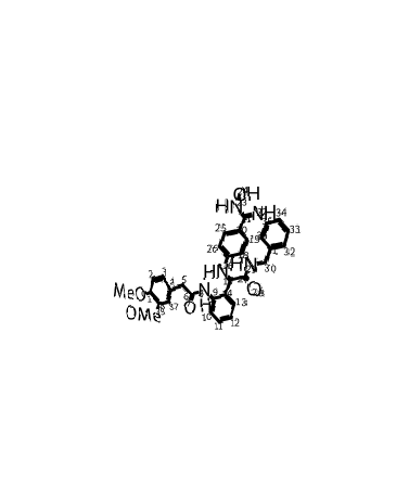 COc1ccc(CC(=O)Nc2ccccc2C(Nc2ccc(C(=N)NO)cc2)C(=O)NCc2ccccc2)cc1OC